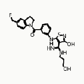 N=C(NCCCO)c1c(O)nsc1Nc1cccc(C(=O)N2CCc3cc(CF)ccc32)c1